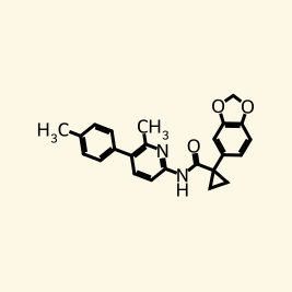 Cc1ccc(-c2ccc(NC(=O)C3(c4ccc5c(c4)OCO5)CC3)nc2C)cc1